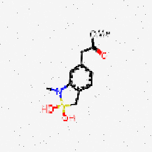 COC(=O)Cc1ccc2c(c1)N(C)S(O)(O)C2